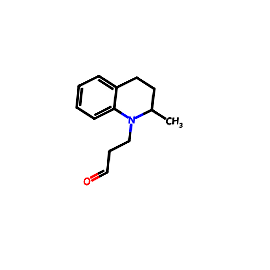 CC1CCc2ccccc2N1CCC=O